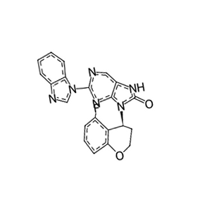 O=c1[nH]c2cnc(-n3cnc4ccccc43)nc2n1[C@H]1CCOc2cccc(F)c21